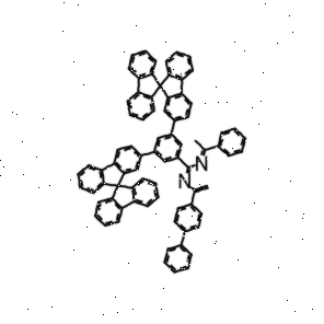 C=C(/N=C(\N=C(/C)c1ccccc1)c1cc(-c2ccc3c(c2)C2(c4ccccc4-c4ccccc42)c2ccccc2-3)cc(-c2ccc3c(c2)C2(c4ccccc4-c4ccccc42)c2ccccc2-3)c1)c1ccc(-c2ccccc2)cc1